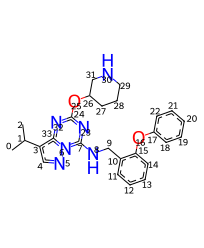 CC(C)c1cnn2c(NCc3ccccc3Oc3ccccc3)nc(OC3CCCNC3)nc12